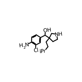 CC(C)CCC1(C(O)c2ccc(N)c(Cl)c2)CCNC1